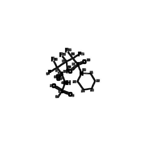 CS(=O)(=O)NS(=O)(=O)C(F)(F)C(F)(F)C(F)(F)S(=O)(=O)N1CCCCC1